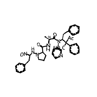 CC(=O)C(C(=O)O)(c1ccccc1)C(Cc1ccccc1)N(C(=O)[C@H](C)NC(=O)C1CCCN1NC(Cc1ccccc1)N=O)c1cccnc1